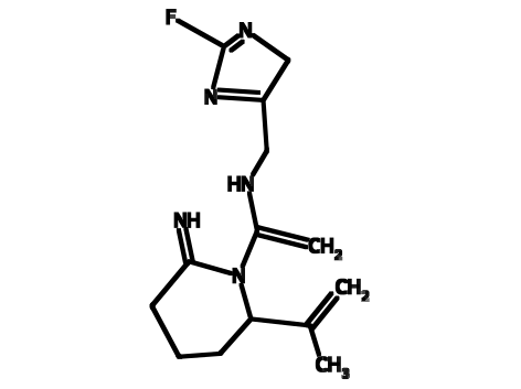 C=C(C)C1CCCC(=N)N1C(=C)NCC1=NC(F)=NC1